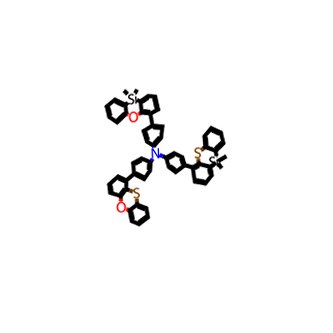 C[Si]1(C)c2ccccc2Oc2c(-c3ccc(N(c4ccc(-c5cccc6c5Sc5ccccc5O6)cc4)c4ccc(-c5cccc6c5Sc5ccccc5[Si]6(C)C)cc4)cc3)cccc21